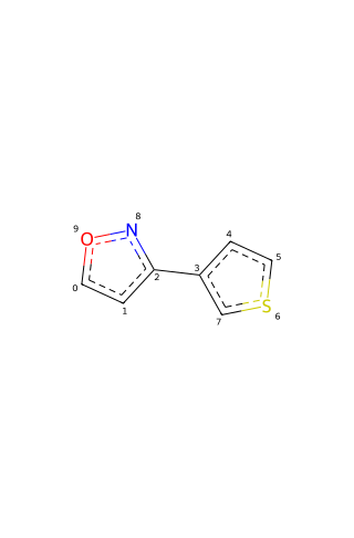 c1cc(-c2ccsc2)no1